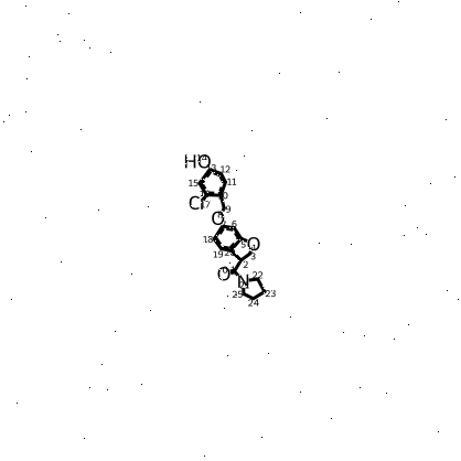 O=C(C1COc2cc(OCc3ccc(O)cc3Cl)ccc21)N1CCCC1